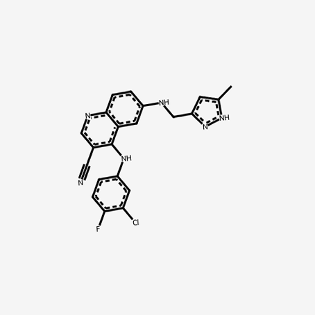 Cc1cc(CNc2ccc3ncc(C#N)c(Nc4ccc(F)c(Cl)c4)c3c2)n[nH]1